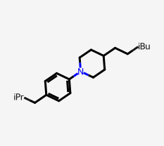 CCC(C)CCC1CCN(c2ccc(CC(C)C)cc2)CC1